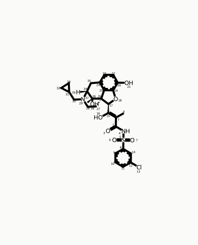 C/C(C(=O)NS(=O)(=O)c1cccc(Cl)c1)=C(/O)[C@@H]1Oc2c(O)ccc3c2[C@@]12CCN(CC1CC1)[C@H](C3)[C@@]2(C)O